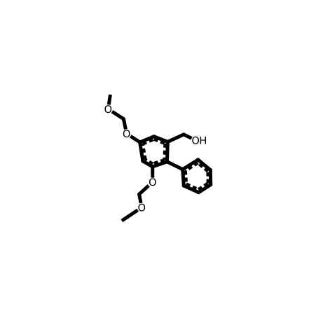 COCOc1cc(CO)c(-c2ccccc2)c(OCOC)c1